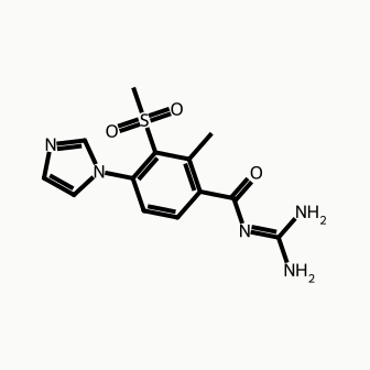 Cc1c(C(=O)N=C(N)N)ccc(-n2ccnc2)c1S(C)(=O)=O